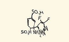 NC1(c2nnnc(F)c2F)C=C(S(=O)(=O)O)C=CC1S(=O)(=O)O